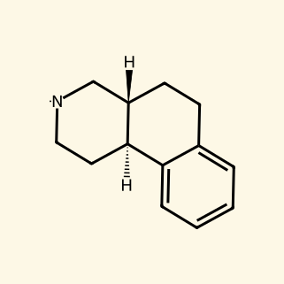 c1ccc2c(c1)CC[C@H]1C[N]CC[C@H]21